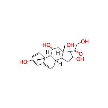 C[C@]12C=CC(O)=CC1=CC[C@@H]1[C@@H]2[C@@H](O)C[C@@]2(C)[C@H]1C[C@@H](O)[C@]2(O)C(=O)CO